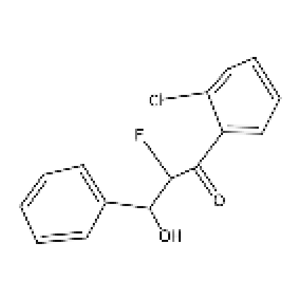 O=C(c1ccccc1Cl)C(F)C(O)c1ccccc1